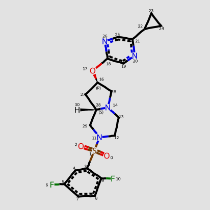 O=S(=O)(c1cc(F)ccc1F)N1CCN2C[C@H](Oc3cnc(C4CC4)cn3)C[C@H]2C1